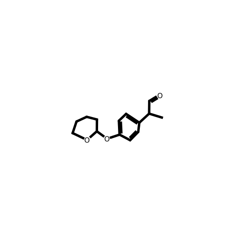 CC(C=O)c1ccc(OC2CCCCO2)cc1